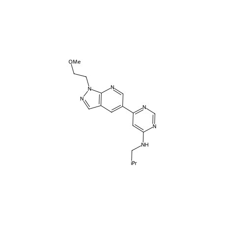 COCCn1ncc2cc(-c3cc(NCC(C)C)ncn3)cnc21